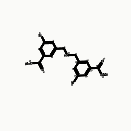 COC(=O)c1cc(Br)cc(CNCc2cc(Br)cc(C(=O)OC)c2)c1